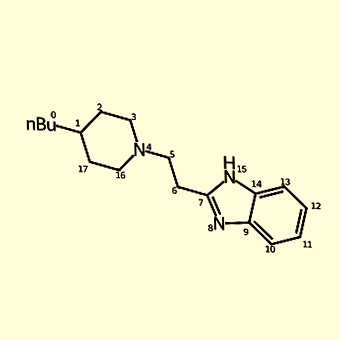 CCCCC1CCN(CCc2nc3ccccc3[nH]2)CC1